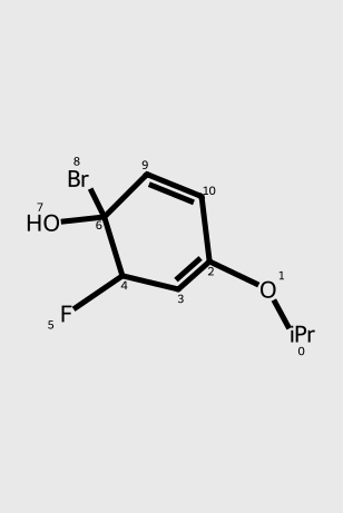 CC(C)OC1=CC(F)C(O)(Br)C=C1